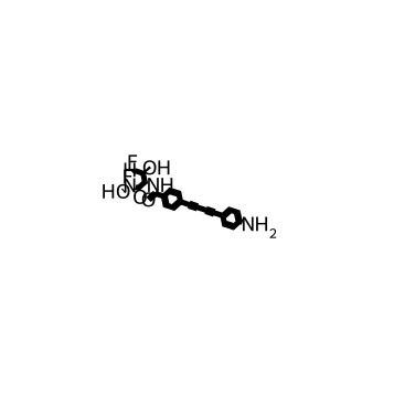 Nc1ccc(C#CC#Cc2ccc(C(=O)N[C@H](C(=O)NO)[C@H](O)C(F)F)cc2)cc1